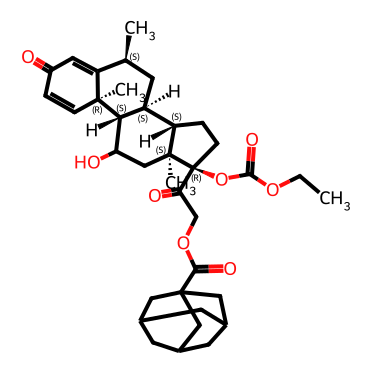 CCOC(=O)O[C@]1(C(=O)COC(=O)C23CC4CC(CC(C4)C2)C3)CC[C@H]2[C@@H]3C[C@H](C)C4=CC(=O)C=C[C@]4(C)[C@H]3C(O)C[C@@]21C